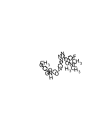 CCN(C(=O)c1cc(F)ccc1Oc1cncnc1N1CC2(CCN(C[C@@H]3CC[C@@H](NS(=O)(=O)c4ccc(OC)cc4)CO3)CC2)C1)C(C)C